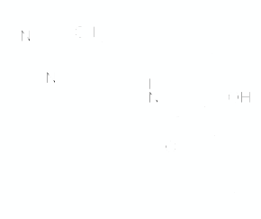 Cc1nccn1CCCNC(=O)C(O)(c1ccccc1)C1CCCC1